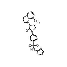 Cc1cccc2c1N([C@H]1CCN(c3ccc(S(=O)(=O)Nc4nccs4)cc3)C1=O)CCC2